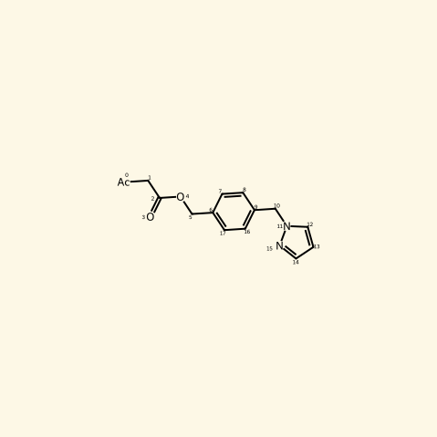 CC(=O)CC(=O)OCc1ccc(Cn2cccn2)cc1